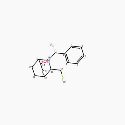 C[C@H](c1ccccc1)N1C2CCC(CC2O)C1CF